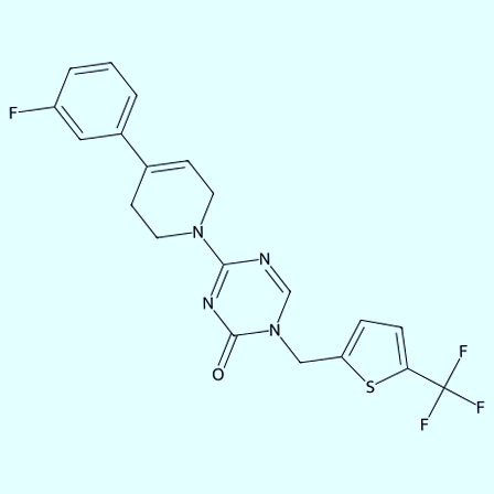 O=c1nc(N2CC=C(c3cccc(F)c3)CC2)ncn1Cc1ccc(C(F)(F)F)s1